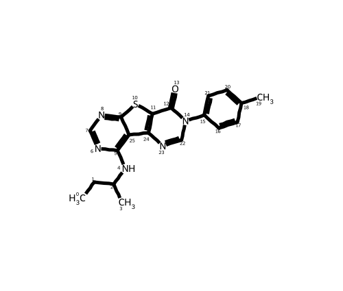 CCC(C)Nc1ncnc2sc3c(=O)n(-c4ccc(C)cc4)cnc3c12